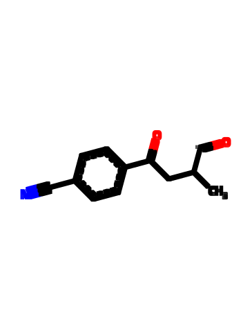 CC([C]=O)CC(=O)c1ccc(C#N)cc1